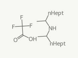 CCCCCCCC(C)NC(C)CCCCCCC.O=C(O)C(F)(F)F